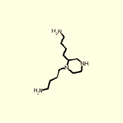 NCCCCC1CNCCN1CCCCN